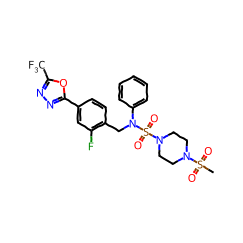 CS(=O)(=O)N1CCN(S(=O)(=O)N(Cc2ccc(-c3nnc(C(F)(F)F)o3)cc2F)c2ccccc2)CC1